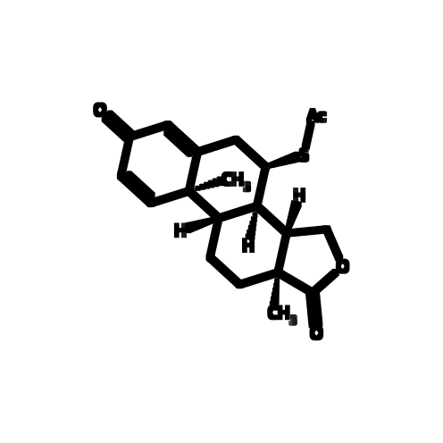 CC(=O)S[C@@H]1CC2=CC(=O)C=C[C@]2(C)[C@H]2CC[C@]3(C)C(=O)OC[C@H]3[C@H]12